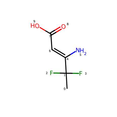 CC(F)(F)/C(N)=C/C(=O)O